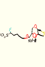 O=S(=O)(O)C(F)CCCOCC1COc2cscc2O1.[NaH]